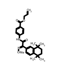 C=CCOC(=O)c1ccc(NC(=O)/C(=N/OC)c2ccc3c(c2)C(C)(C)CCC3(C)C)cc1